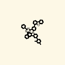 Cc1ccc(-c2ccc3c(c2)c2ccccc2n3-c2ccc(-c3cccc4c3oc3ccccc34)cc2-c2nc(-c3ccccc3)nc(-c3ccccc3)n2)c(C)c1